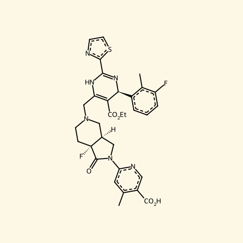 CCOC(=O)C1=C(CN2CC[C@]3(F)C(=O)N(c4cc(C)c(C(=O)O)cn4)C[C@@H]3C2)NC(c2nccs2)=N[C@H]1c1cccc(F)c1C